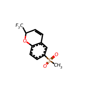 CS(=O)(=O)c1ccc2c(c1)C=CC(C(F)(F)F)O2